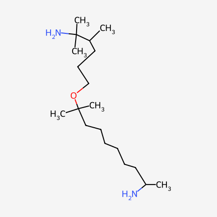 CC(N)CCCCCCC(C)(C)OCCCC(C)C(C)(C)N